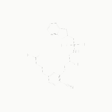 CC(C)(CC1Cc2ccccc2C1)NCC(O)COc1cc(CCCC(=O)O)ccc1C#N